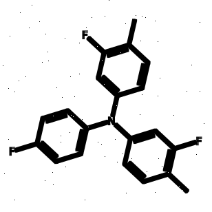 Cc1ccc(N(c2ccc(F)cc2)c2ccc(C)c(F)c2)cc1F